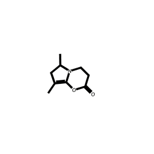 CC1=C2OC(=O)CCN2C(C)C1